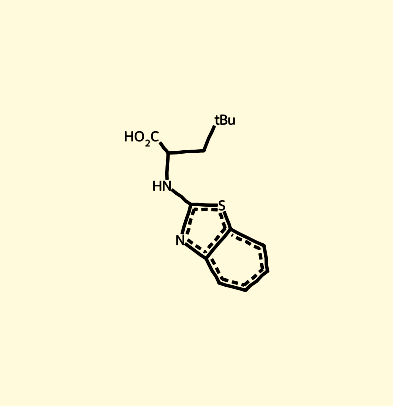 CC(C)(C)CC(Nc1nc2ccccc2s1)C(=O)O